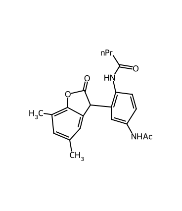 CCCC(=O)Nc1ccc(NC(C)=O)cc1C1C(=O)Oc2c(C)cc(C)cc21